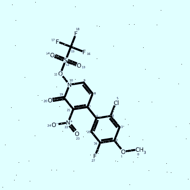 COc1cc(Cl)c(-c2ccn(OS(=O)(=O)C(F)(F)F)c(=O)c2[N+](=O)[O-])cc1F